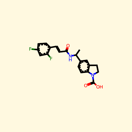 CC(NC(=O)C=Cc1ccc(F)cc1F)c1ccc2c(c1)CCN2C(=O)O